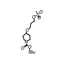 CC(C)(C)OC(=O)N1CCC(OCCCOS(C)(=O)=O)CC1